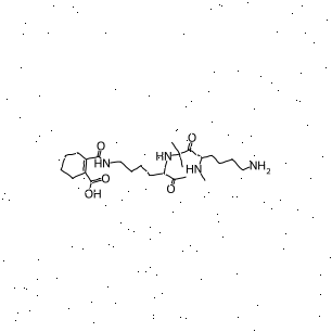 CNC(CCCCN)C(=O)C(C)(C)NC(CCCCNC(=O)C1=C(C(=O)O)CCCC1)C(C)=O